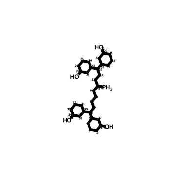 OC1CCCC(C(CCCCC(P)CCC(C2CCCC(O)C2)C2CCCC(O)C2)C2CCCC(O)C2)C1